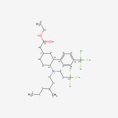 CCCC(C)CCN(CCC(F)(F)F)C1CCC(CC(=O)OCC)CC1c1ccc(C(F)(F)F)cc1